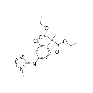 CCOC(=O)C(C)(C(=O)OCC)c1ccc(/N=c2\sccn2C)cc1Cl